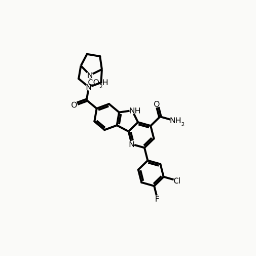 NC(=O)c1cc(-c2ccc(F)c(Cl)c2)nc2c1[nH]c1cc(C(=O)N3CC4CCC(C3)N4C(=O)O)ccc12